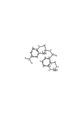 CC(C)c1ccc2c(c1)NC(CC(C)c1cccc3c1CCNC3)CC2